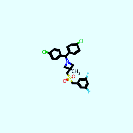 CC1(CS(=O)(=O)Cc2cc(F)cc(F)c2)CN(C(c2ccc(Cl)cc2)c2ccc(Cl)cc2)C1